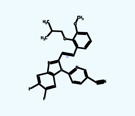 COc1cccc(/C=C/c2nc3cc(F)c(F)cc3n2-c2ccc(C#N)cn2)c1OCC(C)C